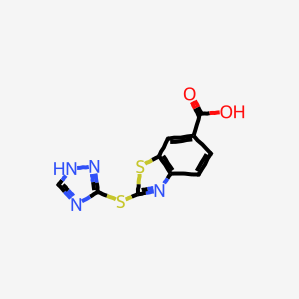 O=C(O)c1ccc2nc(Sc3nc[nH]n3)sc2c1